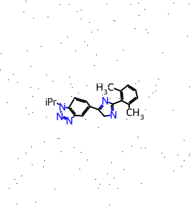 Cc1cccc(C)c1C1=NCC(c2ccc3c(c2)nnn3C(C)C)=N1